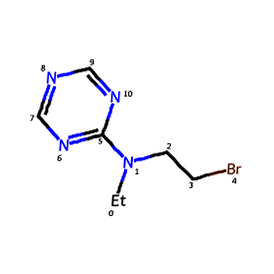 CCN(CCBr)c1ncncn1